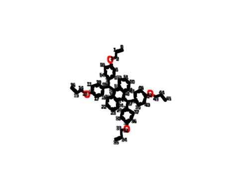 C=CCOc1ccc(C(c2ccc(OCC=C)cc2)c2c3ccccc3c(C(c3ccc(OCC=C)cc3)c3ccc(OCC=C)cc3)c3ccccc23)cc1